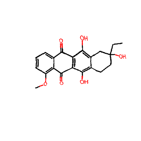 CCC1(O)CCc2c(O)c3c(c(O)c2C1)C(=O)c1cccc(OC)c1C3=O